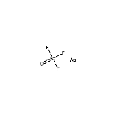 [Ag].[O]=[Sb]([F])([F])[F]